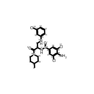 CC1CCN(C(=O)C(CNc2cccc(Cl)c2)N[S+]([O-])c2cc(Cl)c(N)c(Cl)c2)CC1